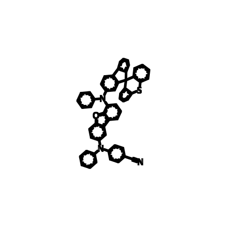 N#Cc1ccc(N(c2ccccc2)c2ccc3oc4c(N(c5ccccc5)c5ccc6c(c5)C5(c7ccccc7Sc7ccccc75)c5ccccc5-6)cccc4c3c2)cc1